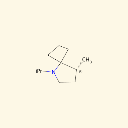 CC(C)N1CC[C@@H](C)C12CCC2